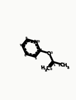 C=C(C)Oc1ccccn1